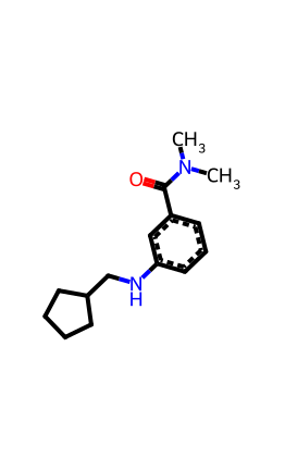 CN(C)C(=O)c1cccc(NCC2CCCC2)c1